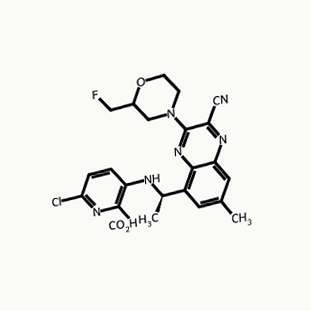 Cc1cc([C@@H](C)Nc2ccc(Cl)nc2C(=O)O)c2nc(N3CCOC(CF)C3)c(C#N)nc2c1